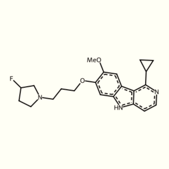 COc1cc2c(cc1OCCCN1CCC(F)C1)[nH]c1ccnc(C3CC3)c12